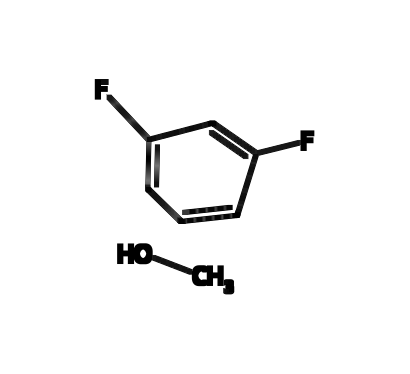 CO.Fc1cccc(F)c1